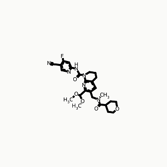 COC(OC)c1nc2c(cc1CN(C)C(=O)C1CCOCC1)CCCN2C(=O)Nc1cc(F)c(C#N)cn1